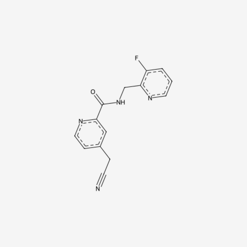 N#CCc1ccnc(C(=O)NCc2ncccc2F)c1